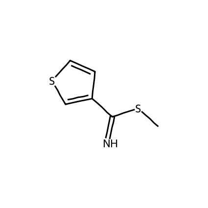 CSC(=N)c1ccsc1